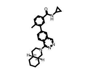 Cc1ccc(C(=O)NC2CC2)cc1-c1ccc2c(N3CC[C@H]4CCCC[C@H]4C3)nncc2c1